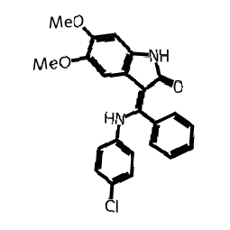 COc1cc2c(cc1OC)/C(=C(\Nc1ccc(Cl)cc1)c1ccccc1)C(=O)N2